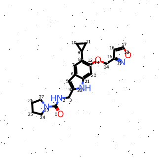 O=C(NCc1cc2cc(C3CC3)c(OCc3ccon3)cc2[nH]1)N1CCCC1